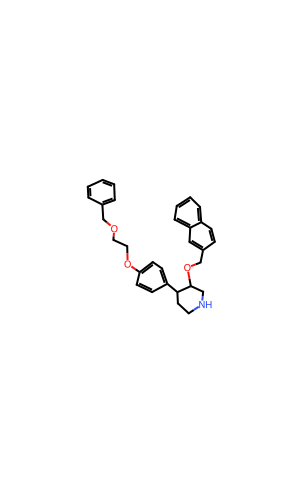 c1ccc(COCCOc2ccc(C3CCNCC3OCc3ccc4ccccc4c3)cc2)cc1